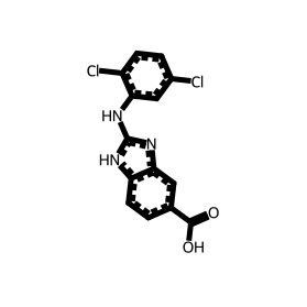 O=C(O)c1ccc2[nH]c(Nc3cc(Cl)ccc3Cl)nc2c1